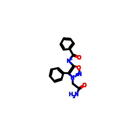 NC(=O)C[n+]1noc([N-]C(=O)c2ccccc2)c1-c1ccccc1